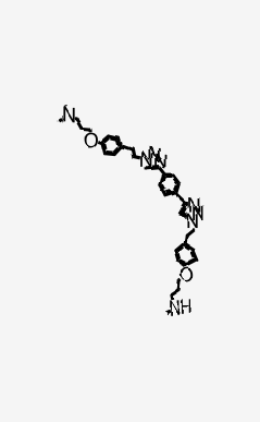 CNCCCOc1ccc(CCn2cc(-c3ccc(-c4cn(CCc5ccc(OCCCN(C)C)cc5)nn4)cc3)nn2)cc1